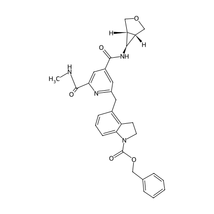 CNC(=O)c1cc(C(=O)N[C@H]2[C@@H]3COC[C@@H]32)cc(Cc2cccc3c2CCN3C(=O)OCc2ccccc2)n1